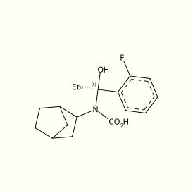 CC[C@](O)(c1ccccc1F)N(C(=O)O)C1CC2CCC1C2